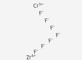 [Cr+3].[F-].[F-].[F-].[F-].[F-].[F-].[F-].[Zr+4]